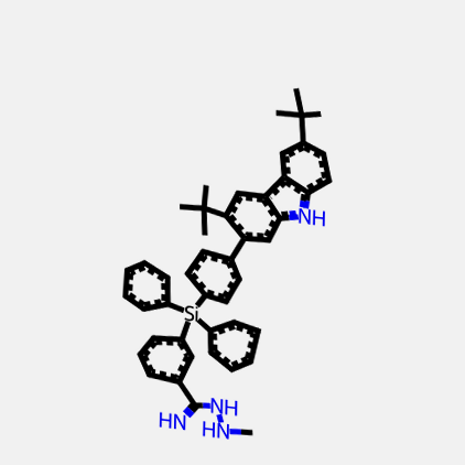 CNNC(=N)c1cccc([Si](c2ccccc2)(c2ccccc2)c2ccc(-c3cc4[nH]c5ccc(C(C)(C)C)cc5c4cc3C(C)(C)C)cc2)c1